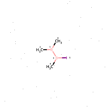 CB(C)B(C)I